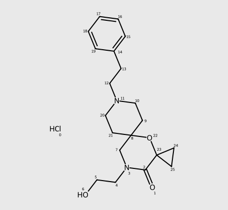 Cl.O=C1N(CCO)CC2(CCN(CCc3ccccc3)CC2)OC12CC2